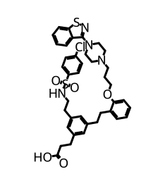 O=C(O)CCc1cc(CCNS(=O)(=O)c2ccc(Cl)cc2)cc(CCc2ccccc2OCCCN2CCN(c3nsc4ccccc34)CC2)c1